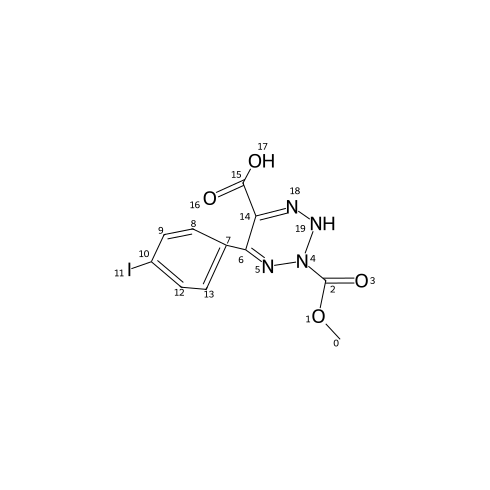 COC(=O)N1N=C(c2ccc(I)cc2)C(C(=O)O)=NN1